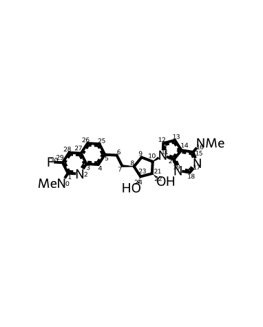 CNc1nc2cc(CC[C@H]3C[C@@H](n4ccc5c(NC)ncnc54)[C@H](O)[C@@H]3O)ccc2cc1F